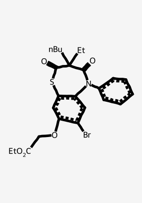 CCCCC1(CC)C(=O)Sc2cc(OCC(=O)OCC)c(Br)cc2N(c2ccccc2)C1=O